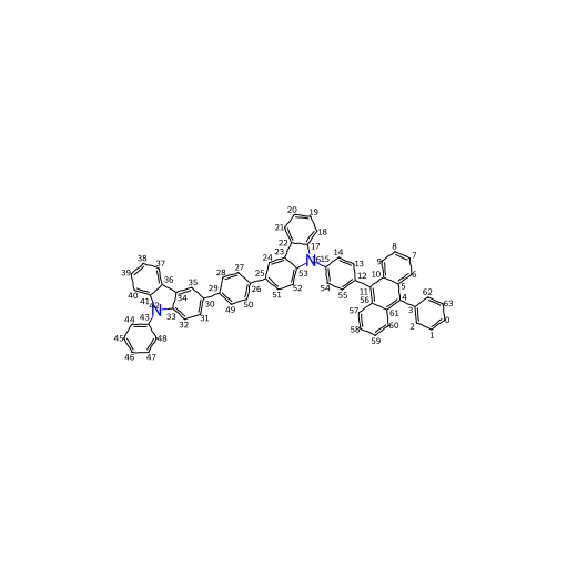 c1ccc(-c2c3ccccc3c(-c3ccc(-n4c5ccccc5c5cc(-c6ccc(-c7ccc8c(c7)c7ccccc7n8-c7ccccc7)cc6)ccc54)cc3)c3ccccc23)cc1